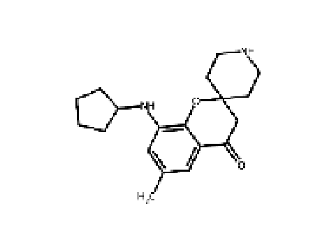 Cc1cc(NC2CCCC2)c2c(c1)C(=O)CC1(CCNCC1)O2